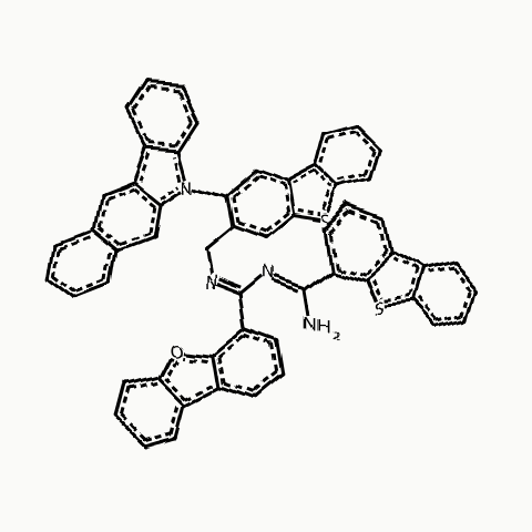 N/C(=N\C(=N/Cc1cc2sc3ccccc3c2cc1-n1c2ccccc2c2cc3ccccc3cc21)c1cccc2c1oc1ccccc12)c1cccc2c1sc1ccccc12